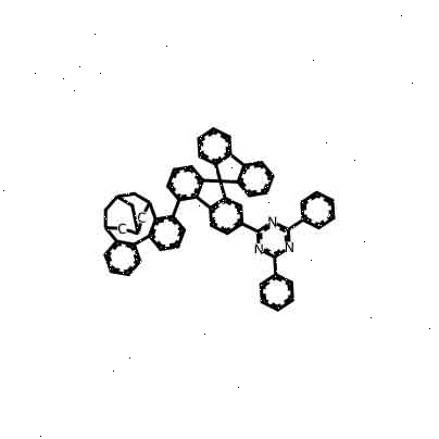 c1ccc(-c2nc(-c3ccccc3)nc(-c3ccc4c(c3)C3(c5ccccc5-c5ccccc53)c3cccc(-c5cccc6c5C5CC7CC(CC(C7)c7ccccc7-6)C5)c3-4)n2)cc1